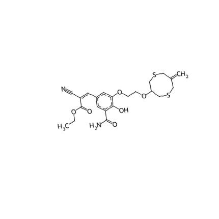 C=C1CSCC(OCCOc2cc(/C=C(/C#N)C(=O)OCC)cc(C(N)=O)c2O)CSC1